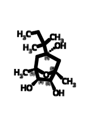 CCC(C)(C)[C@@]1(O)C[C@@]2(C)O[C@@](C)(C1)[C@H](O)[C@@H]2O